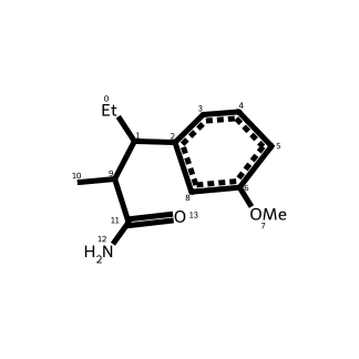 CCC(c1cccc(OC)c1)C(C)C(N)=O